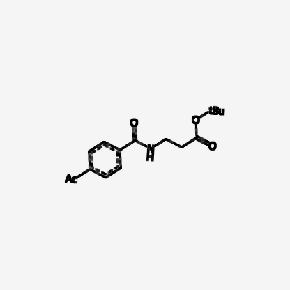 CC(=O)c1ccc(C(=O)NCCC(=O)OC(C)(C)C)cc1